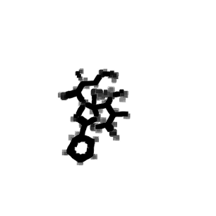 CC(=O)SC[C@@H](C)C(=O)N1N=C(c2ccccc2)S[C@@]1(C(=O)O)C(SC(C)=O)C(C)C(=O)Cl